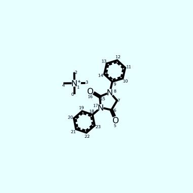 C[N+](C)(C)C.O=C1CN(c2ccccc2)C(=O)N1c1ccccc1